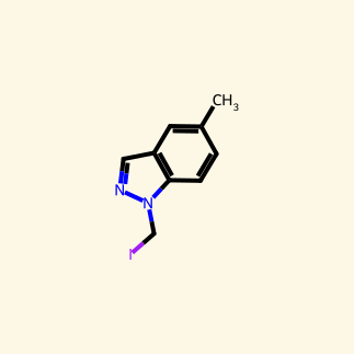 Cc1ccc2c(cnn2CI)c1